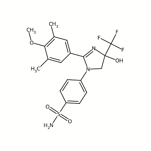 COc1c(C)cc(C2=NC(O)(C(F)(F)F)CN2c2ccc(S(N)(=O)=O)cc2)cc1C